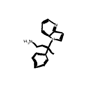 CC(CCN)(c1ccccc1)n1ccc2ncccc21